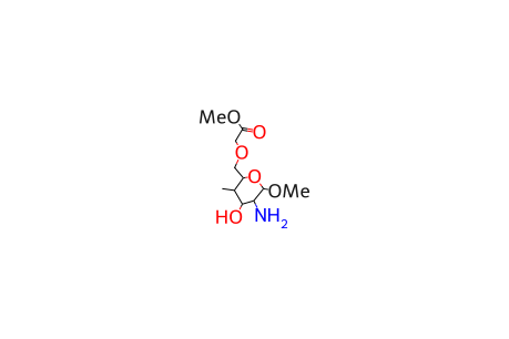 COC(=O)COCC1OC(OC)C(N)C(O)C1C